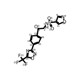 O=C(CNS(=O)(=O)c1cnoc1)c1ccc(-c2noc(C(F)(F)F)n2)cc1